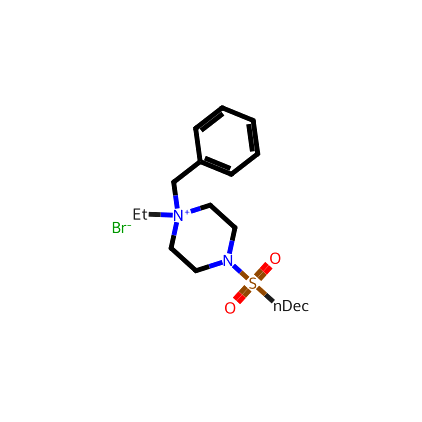 CCCCCCCCCCS(=O)(=O)N1CC[N+](CC)(Cc2ccccc2)CC1.[Br-]